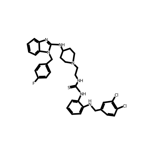 Fc1ccc(Cn2c(NC3CCN(CCNC(=S)Nc4ccccc4NCc4ccc(Cl)c(Cl)c4)CC3)nc3ccccc32)cc1